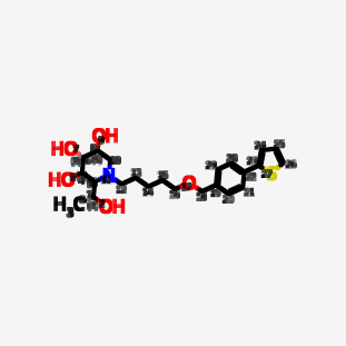 C[C@@H](O)[C@H]1[C@@H](O)[C@H](O)[C@@H](O)CN1CCCCCOCc1ccc(-c2cccs2)cc1